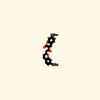 COc1ccc(/C=C\C(=O)CC(=O)c2cc3ccc(OC)cc3sc2=O)cc1